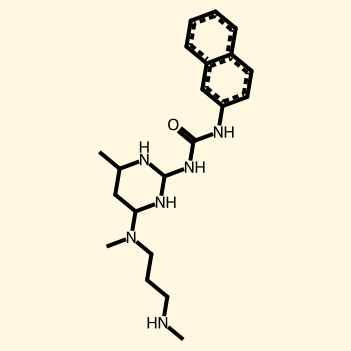 CNCCCN(C)C1CC(C)NC(NC(=O)Nc2ccc3ccccc3c2)N1